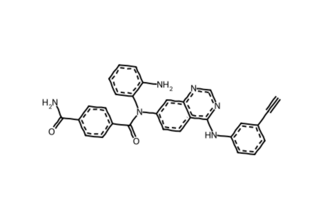 C#Cc1cccc(Nc2ncnc3cc(N(C(=O)c4ccc(C(N)=O)cc4)c4ccccc4N)ccc23)c1